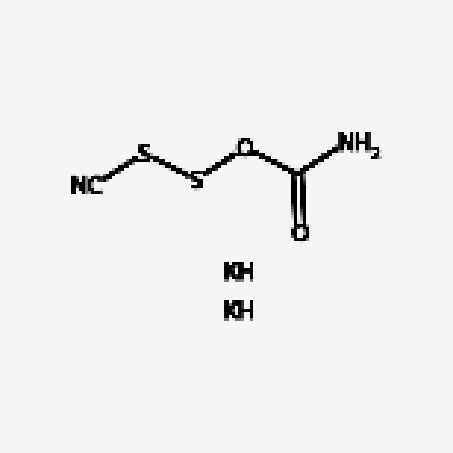 N#CSSOC(N)=O.[KH].[KH]